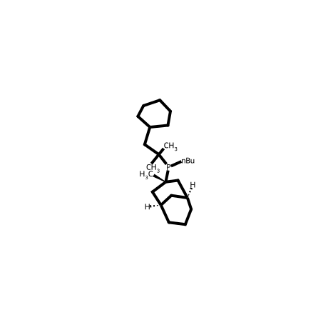 CCCCP(C(C)(C)CC1CCCCC1)[C@@]1(C)C[C@@H]2CCC[C@@H](C2)C1